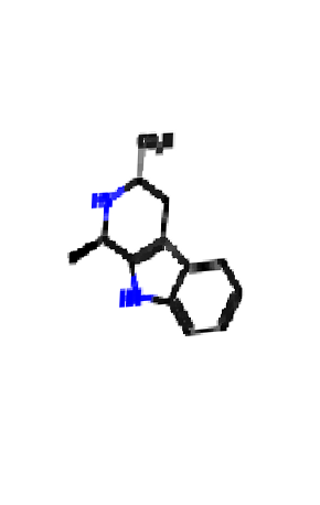 C[C@H]1N[C@H](C(=O)O)Cc2c1[nH]c1ccccc21